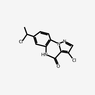 CC(Cl)c1ccc2c(c1)[nH]c(=O)c1c(Cl)cnn12